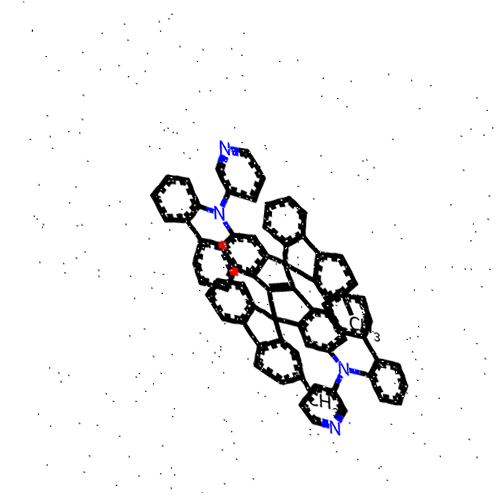 Cc1ccc2c(c1)C1(C3=C(c4ccc(N(c5cccnc5)c5ccccc5-c5ccccc5)cc41)C1(c4cc(N(c5cccnc5)c5ccccc5-c5ccccc5)ccc43)c3ccccc3-c3ccc(C)cc31)c1ccccc1-2